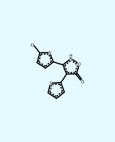 O=c1o[nH]c(-c2ccc(Cl)s2)c1-c1cccs1